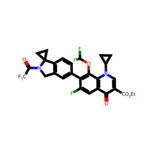 CCOC(=O)c1cn(C2CC2)c2c(OC(F)F)c(-c3ccc4c(c3)CN(C(=O)C(F)(F)F)C43CC3)c(F)cc2c1=O